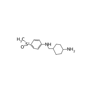 C[S+]([O-])c1ccc(NCC2CCC(N)CC2)cc1